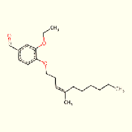 CCCCCCC(C)=CCCOc1ccc(C=O)cc1OCC